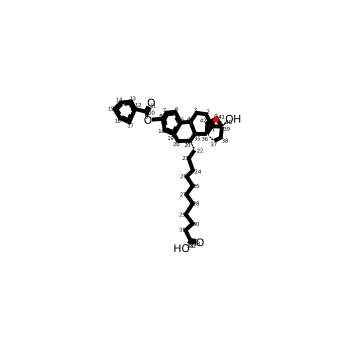 C[C@]12CCC3c4ccc(OC(=O)c5ccccc5)cc4C[C@@H](CCCCCCCCCCC(=O)O)C3[C@]13CC[C@]2(O)CC3